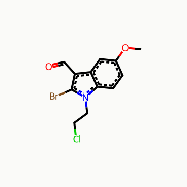 COc1ccc2c(c1)c(C=O)c(Br)n2CCCl